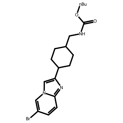 CCCCOC(=O)NCC1CCC(c2cn3cc(Br)ccc3n2)CC1